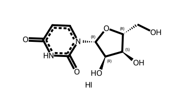 I.O=c1ccn([C@@H]2O[C@H](CO)[C@@H](O)[C@H]2O)c(=O)[nH]1